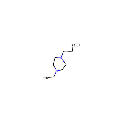 CC(C)(C)CN1CCN(CCC(=O)O)CC1